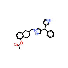 CC(=O)Oc1cccc2c1CCC(Cn1cc(C(c3ccccc3)c3cc[nH]c3)cn1)C2